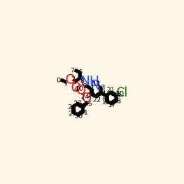 CCOC(=O)C(CC)NC(=O)c1ncc(-c2cccc(Cl)c2)cc1OCc1ccccc1